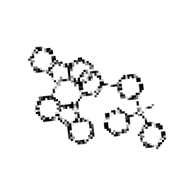 C[Si](c1ccccc1)(c1ccccc1)c1cccc(-c2ccnc(-n3c4ccccc4c4cccc(-n5c6ccccc6c6ccccc65)c43)c2)c1